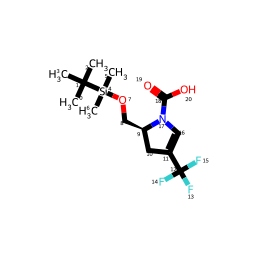 CC(C)(C)[Si](C)(C)OC[C@@H]1CC(C(F)(F)F)=CN1C(=O)O